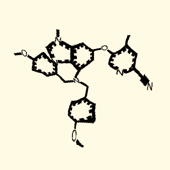 COc1ccc(CN(Cc2ccc(OC)cc2)c2cc(Oc3cnc(C#N)cc3C)cc3c2ncn3C)cc1